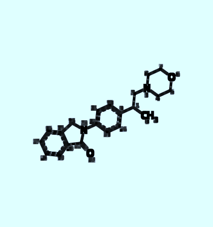 CC(CN1CCOCC1)c1ccc(N2Cc3ccccc3C2=O)cc1